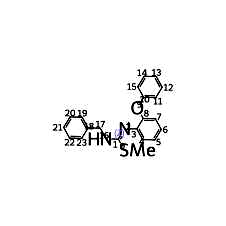 CS/C(=N\c1ccccc1Oc1ccccc1)NCc1ccccc1